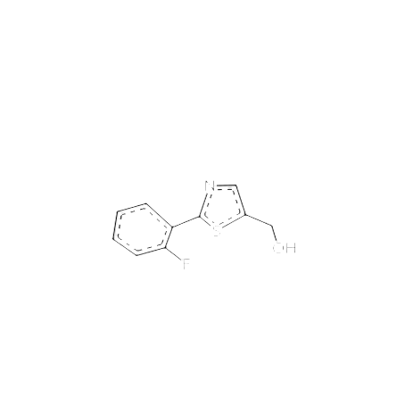 OCc1cnc(-c2ccccc2F)s1